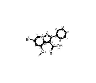 COc1cc(Br)cn2nc(-c3ccccc3)c(C(=O)O)c12